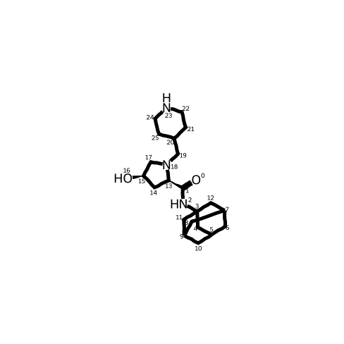 O=C(NC12CC3CC(CC(C3)C1)C2)[C@H]1C[C@@H](O)CN1CC1CCNCC1